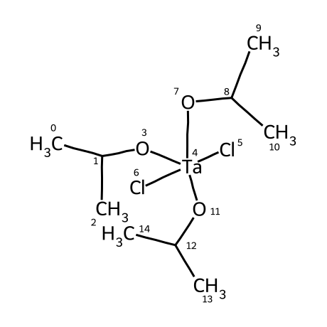 CC(C)[O][Ta]([Cl])([Cl])([O]C(C)C)[O]C(C)C